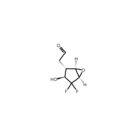 O=CC[C@@H]1[C@H]2O[C@H]2C(F)(F)[C@H]1O